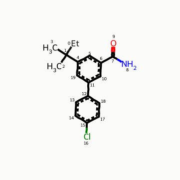 CCC(C)(C)c1cc(C(N)=O)cc(-c2ccc(Cl)cc2)c1